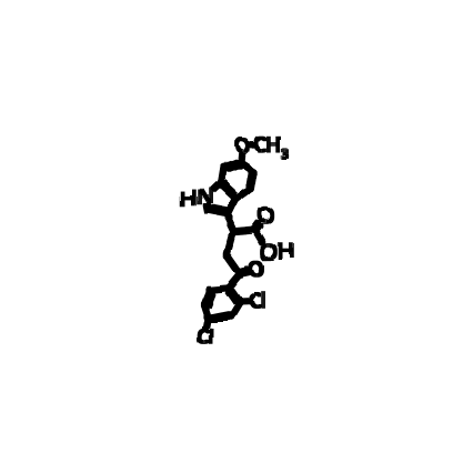 COc1ccc2c(C(CC(=O)c3ccc(Cl)cc3Cl)C(=O)O)c[nH]c2c1